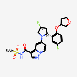 CC(C)(C)S(=O)(=O)NC(=O)c1cnn2ccc(N3C[C@@H](F)C[C@@H]3c3cc(F)ccc3OC3CCOC3)cc12